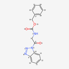 O=C(NCC(=O)n1nnc2ccccc21)OCc1ccccc1